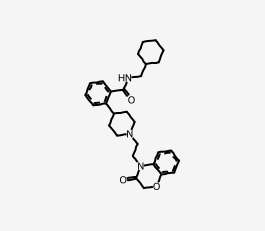 O=C(NCC1CCCCC1)c1ccccc1C1CCN(CCN2C(=O)COc3ccccc32)CC1